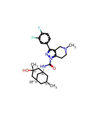 C[C@H]1C[C@H]2C[C@](C)(O)C[C@@](NC(=O)n3nc(-c4ccc(F)c(F)c4)c4c3CCN(C)C4)(C1)C2